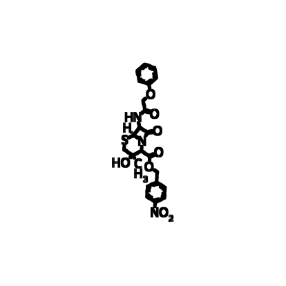 CC1(O)CS[C@H]2C(NC(=O)COc3ccccc3)C(=O)N2C1C(=O)OCc1ccc([N+](=O)[O-])cc1